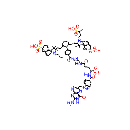 CCCCN1c2ccc3cc(S(=O)(=O)O)ccc3c2C(C)(C)C1(C)/C=C/C1=C(c2ccc(C(=O)NCCNC(=O)CC[C@H](NC(=O)c3ccc(NCc4cnc5nc(N)[nH]c(=O)c5n4)cc3)C(=O)O)cc2)C(=C/C=C2/N(CCC(C)S(=O)(=O)O)c3ccc4cc(S(=O)(=O)O)ccc4c3C2(C)C)/CCC1